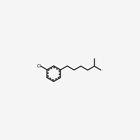 [CH2]C(C)CCCCc1cccc(Cl)c1